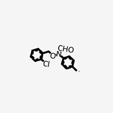 [CH2]c1ccc(N(C=O)OCc2ccccc2Cl)cc1